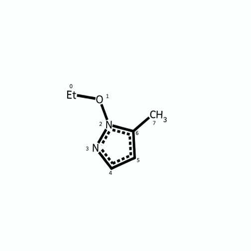 CCOn1nccc1C